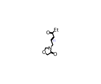 CCC(=O)/C=C/CN1COCC1=O